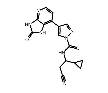 N#CCC(NC(=O)n1cc(-c2ccnc3[nH]c(=O)[nH]c23)cn1)C1CC1